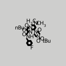 CCCCOc1c(C(=O)NCc2ccc(F)cc2)nc2c(N3CCN(C(=O)OC(C)(C)C)CC3=O)cc(N(C)C)cn2c1=O